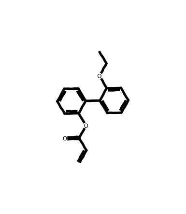 C=CC(=O)Oc1ccccc1-c1ccccc1OCC